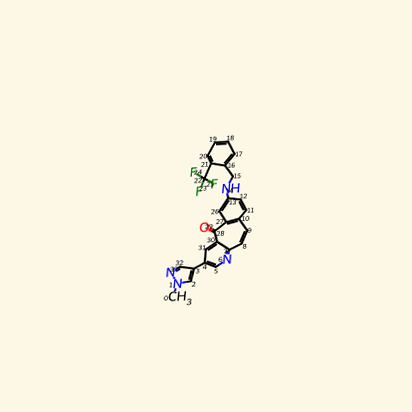 Cn1cc(-c2cnc3ccc4ccc(NCc5ccccc5C(F)(F)F)cc4c(=O)c3c2)cn1